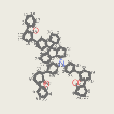 c1ccc(C2(c3ccc(-c4cccc5c4oc4ccccc45)cc3)c3ccccc3-c3c(N(c4ccc(-c5cccc6c5oc5ccccc56)cc4)c4ccc(-c5cccc6c5oc5ccccc56)cc4)cccc32)cc1